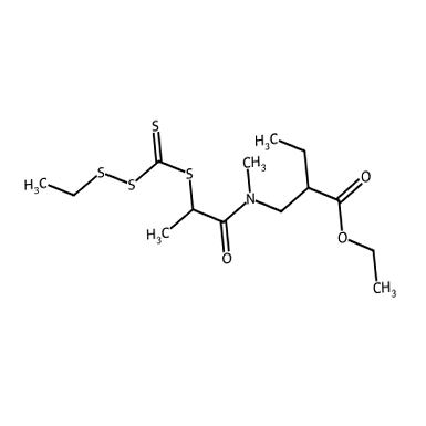 CCOC(=O)C(CC)CN(C)C(=O)C(C)SC(=S)SSCC